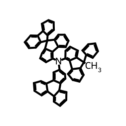 CC1(c2ccccc2)c2ccccc2-c2c(N(c3ccc4c5ccccc5c5ccccc5c4c3)c3cccc4c3-c3ccccc3C43c4ccccc4-c4ccccc43)cccc21